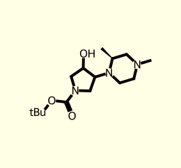 C[C@H]1CN(C)CCN1C1CN(C(=O)OC(C)(C)C)CC1O